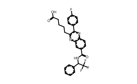 O=C(O)CCCCc1nc2cc(C(=O)NC(c3ccccc3)C(F)(F)F)ccc2nc1-c1ccc(F)cc1